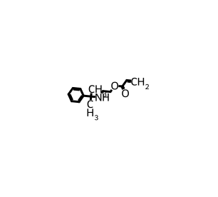 C=CC(=O)OCCNC(C)(C)c1ccccc1